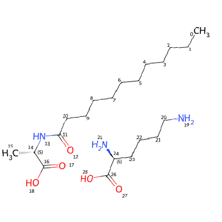 CCCCCCCCCCCC(=O)N[C@@H](C)C(=O)O.NCCCC[C@H](N)C(=O)O